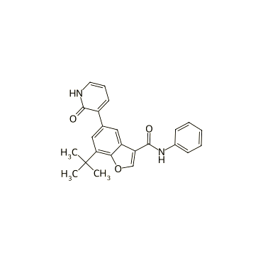 CC(C)(C)c1cc(-c2ccc[nH]c2=O)cc2c(C(=O)Nc3ccccc3)coc12